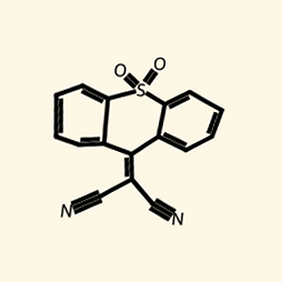 N#CC(C#N)=C1c2ccccc2S(=O)(=O)c2ccccc21